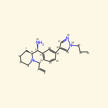 C=CCN1CCCC[C@H]1[C@@H](N)c1cccc(-c2cnn(CCC)c2)c1